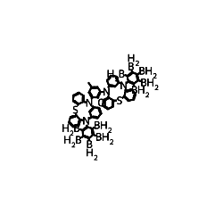 Bc1c(B)c(B)c(N2c3cccc(c3)N(c3cc(C)cc(N4c5cccc(c5)N(c5c(B)c(B)c(B)c(B)c5B)c5ccccc5Sc5ccccc54)c3Cl)c3ccccc3Sc3ccccc32)c(B)c1B